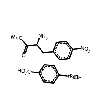 CC(C)(C)c1ccc(C(=O)O)cc1.COC(=O)[C@@H](N)Cc1ccc([N+](=O)[O-])cc1.Cl